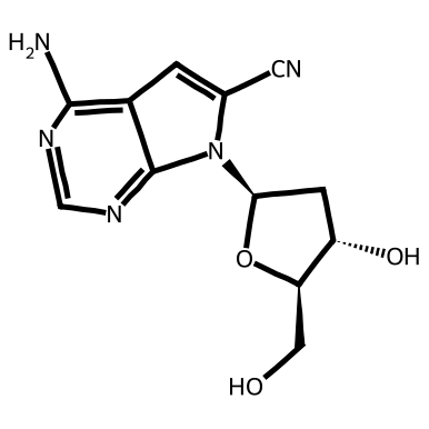 N#Cc1cc2c(N)ncnc2n1[C@H]1C[C@H](O)[C@@H](CO)O1